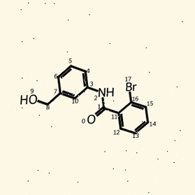 O=C(Nc1cccc(CO)c1)c1ccccc1Br